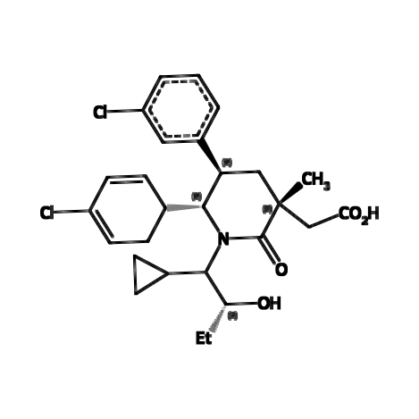 CC[C@@H](O)C(C1CC1)N1C(=O)[C@@](C)(CC(=O)O)C[C@H](c2cccc(Cl)c2)[C@H]1C1C=CC(Cl)=CC1